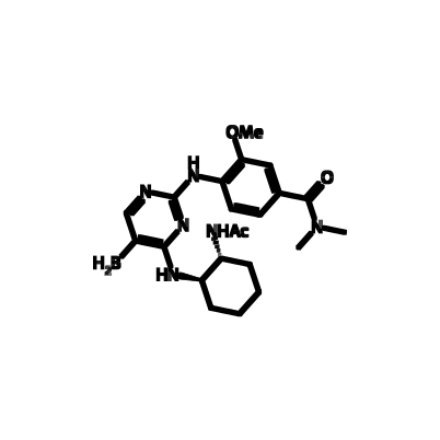 Bc1cnc(Nc2ccc(C(=O)N(C)C)cc2OC)nc1N[C@@H]1CCCC[C@H]1NC(C)=O